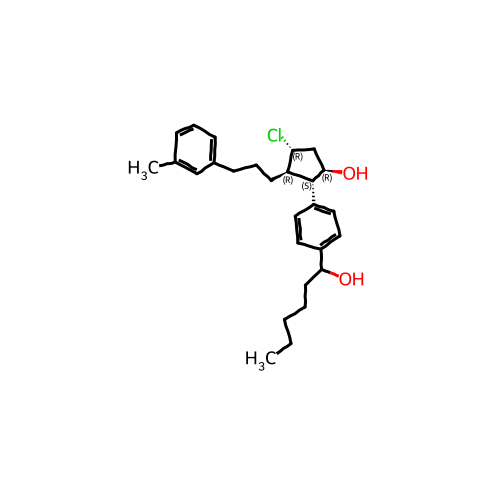 CCCCCC(O)c1ccc([C@@H]2[C@@H](CCCc3cccc(C)c3)[C@H](Cl)C[C@H]2O)cc1